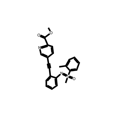 COC(=O)c1ccc(C#Cc2ccccc2N=S(C)(=O)c2ccccc2C)cn1